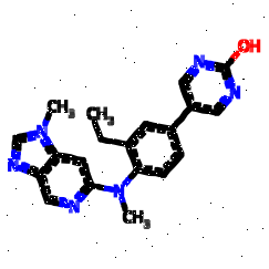 CCc1cc(-c2cnc(O)nc2)ccc1N(C)c1cc2c(cn1)ncn2C